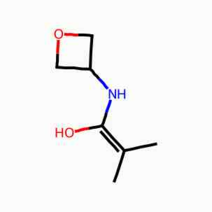 CC(C)=C(O)NC1COC1